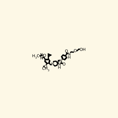 CCOc1cc(-c2nc(C)no2)c(C2CC2)cc1CN1CCC2(CC1)CN(c1ccc(C(=O)NCCOCCO)cc1)C(=O)N2